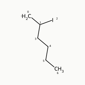 [CH2]C(I)CCCC